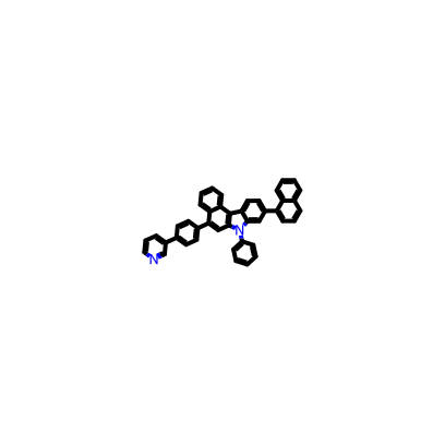 c1ccc(-n2c3cc(-c4cccc5ccccc45)ccc3c3c4ccccc4c(-c4ccc(-c5cccnc5)cc4)cc32)cc1